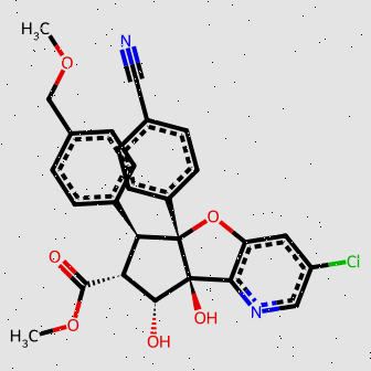 COCc1ccc([C@@H]2[C@@H](C(=O)OC)[C@@H](O)[C@@]3(O)c4ncc(Cl)cc4O[C@@]23c2ccc(C#N)cc2)cc1